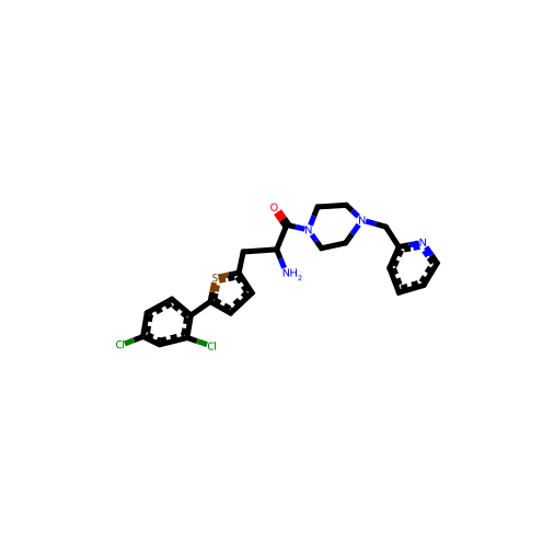 NC(Cc1ccc(-c2ccc(Cl)cc2Cl)s1)C(=O)N1CCN(Cc2ccccn2)CC1